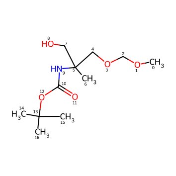 COCOCC(C)(CO)NC(=O)OC(C)(C)C